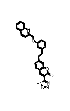 O=c1oc2cc(CCc3cccc(OCc4ccc5ccccc5n4)c3)ccc2cc1-c1nnn[nH]1